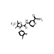 C[C@@H]1[C@@H](c2ccc(F)c(F)c2)[C@H](C(=O)Nc2ccnc(C(N)=O)c2)O[C@@]1(C)C(F)(F)F